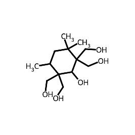 CC1CC(C)(C)C(CO)(CO)C(O)C1(CO)CO